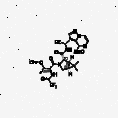 COc1nccn2ncc(C(C#N)NC(=O)[C@@H]3[C@@H]4[C@H](CN3C(=O)[C@@H](NC(=O)C(F)(F)F)[C@@H](C)OC(C)(C)C)C4(C)C)c12